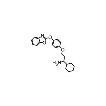 NC(CCOc1ccc(Oc2nc3ccccc3o2)cc1)C1CCCCC1